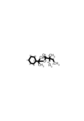 CCC(C)(C)C(=O)OC(C)(C)C1CCCCC1